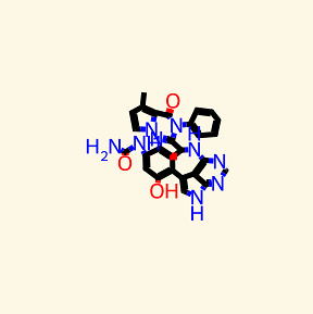 Cc1ccn2nc(C(C)Nc3ncnc4[nH]cc(-c5ccc(NC(N)=O)cc5O)c34)n(-c3ccccc3)c(=O)c12